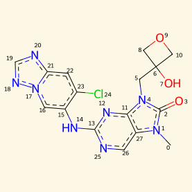 Cn1c(=O)n(CC2(O)COC2)c2nc(Nc3cn4ncnc4cc3Cl)ncc21